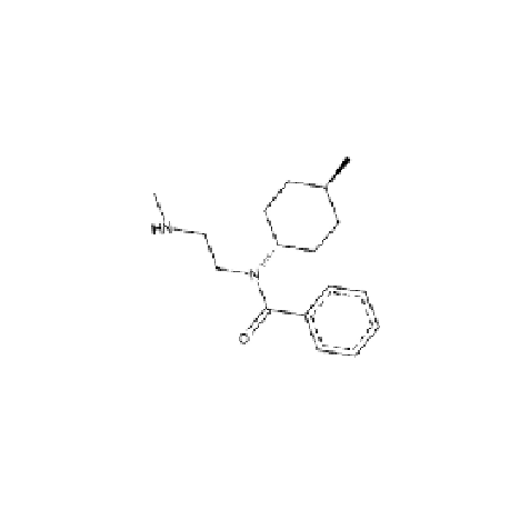 CNCCN(C(=O)c1ccccc1)[C@H]1CC[C@H](C)CC1